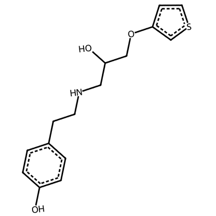 Oc1ccc(CCNCC(O)COc2ccsc2)cc1